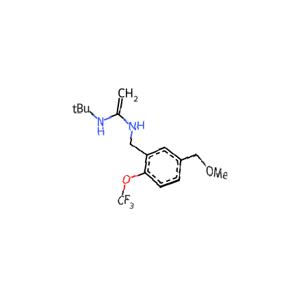 C=C(NCc1cc(COC)ccc1OC(F)(F)F)NC(C)(C)C